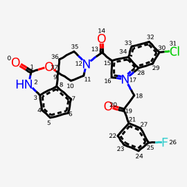 O=C1Nc2ccccc2C2(CCN(C(=O)c3cn(CC(=O)c4cccc(F)c4)c4cc(Cl)ccc34)CC2)O1